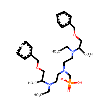 O=C(O)CN(CCN(CCN(CC(=O)O)C(COCc1ccccc1)C(=O)O)CP(=O)(O)O)C(COCc1ccccc1)C(=O)O